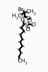 CCCCCCCCCCC(OC(=O)C(C)(C)Br)[Si](Cl)(Cl)Cl